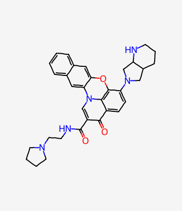 O=C(NCCN1CCCC1)c1cn2c3c(c(N4CC5CCCNC5C4)ccc3c1=O)Oc1cc3ccccc3cc1-2